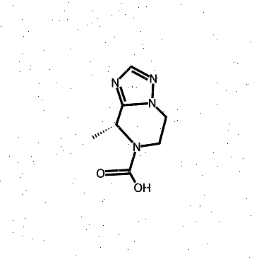 C[C@@H]1c2ncnn2CCN1C(=O)O